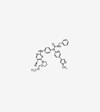 COC[C@@H]1CCCN1c1nc(Nc2ccc(N(C(=O)NCc3ccccc3)c3ccc(-c4cnn(C)c4)cn3)cc2)ncc1C#N